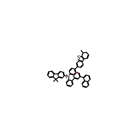 CC1CC=Cc2c1sc1cc(-c3ccc(N(c4ccc5c(c4)C(C)(C)c4ccccc4-5)c4ccccc4-c4cccc(-c5cccc6ccccc56)c4)cc3)ccc21